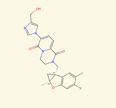 Cc1cc2c(cc1F)O[C@@]1(C)C[C@@]21CN1CCn2c(ccc(-n3cnc(CO)c3)c2=O)C1=O